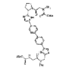 CCCN(Cc1ncc(-c2ccc(-c3ccc(-c4cnc([C@@H]5CCCN5C(=O)CN(C)C(=O)OC)[nH]4)cc3)cc2)[nH]1)C(=O)CNC(=O)OC